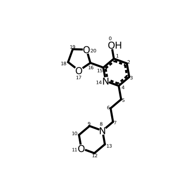 Oc1ccc(CCCN2CCOCC2)nc1C1OCCO1